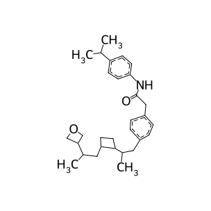 CC(C)c1ccc(NC(=O)Cc2ccc(CC(C)C3CCC3CC(C)C3COC3)cc2)cc1